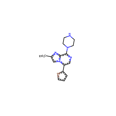 CCOC(=O)c1cn2c(-c3cccs3)cnc(N3CCNCC3)c2n1